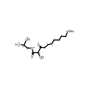 CCCCCCCCCCCCCCCCCC(=O)C(O)C(=O)OCC(C)O